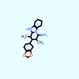 CC1C(C2CCC3=C(C2)OCO3)C(C)C2NC3=C(CCCC3)N2C1N